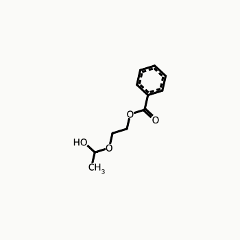 C[C](O)OCCOC(=O)c1ccccc1